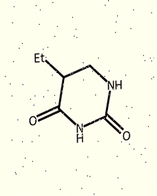 CCC1CNC(=O)NC1=O